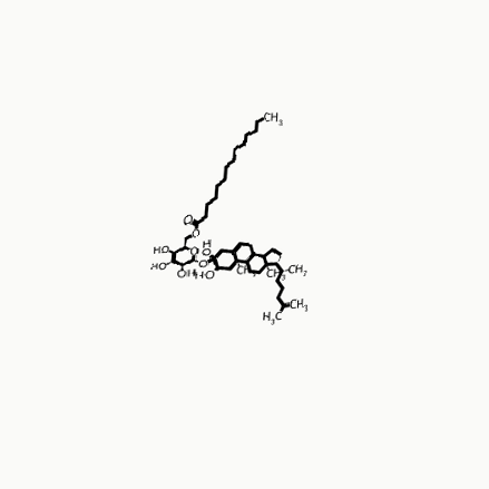 CCCCCCCCCCCCCC(=O)OC[C@H]1O[C@H](OC2(O)CC3=CCC4C(CC[C@@]5(C)C4CC[C@@H]5[C@H](C)CCCC(C)C)[C@@]3(C)CC2O)[C@H](O)[C@H](O)[C@H]1O